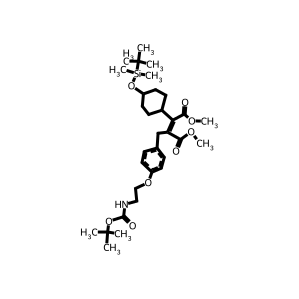 COC(=O)/C(Cc1ccc(OCCNC(=O)OC(C)(C)C)cc1)=C(\C(=O)OC)C1CCC(O[Si](C)(C)C(C)(C)C)CC1